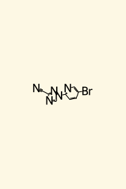 N#Cc1ncn(-c2ccc(Br)cn2)n1